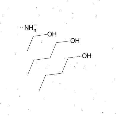 CCCCO.CCCCO.CCO.N